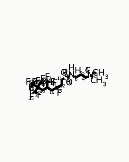 C[N+](C)(C)CCCNS(=O)(=O)CCC(F)(F)CC(CC(C(F)(F)F)(C(F)(F)F)C(F)(F)F)C(F)(F)F